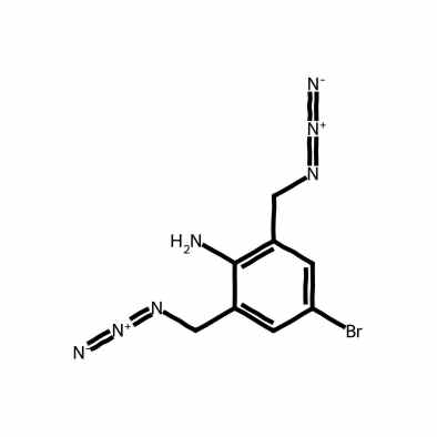 [N-]=[N+]=NCc1cc(Br)cc(CN=[N+]=[N-])c1N